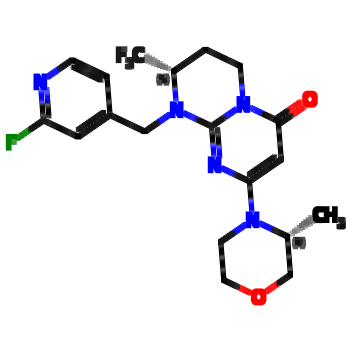 C[C@@H]1COCCN1c1cc(=O)n2c(n1)N(Cc1ccnc(F)c1)[C@H](C(F)(F)F)CC2